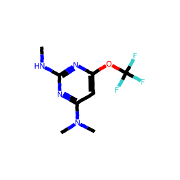 CNc1nc(OC(F)(F)F)cc(N(C)C)n1